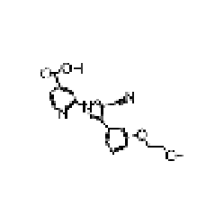 COCCOc1cccc(-c2cn(-c3cc(C(=O)O)ccn3)cc2C#N)c1